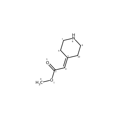 COC(=O)C=C1CCNCC1